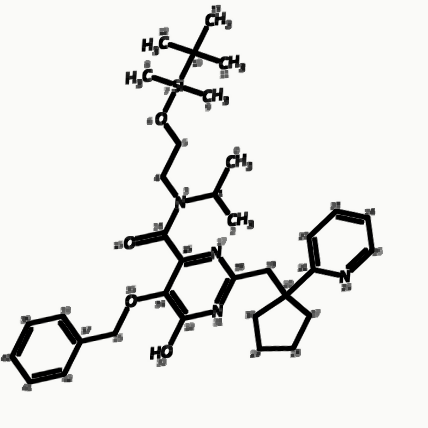 CC(C)N(CCO[Si](C)(C)C(C)(C)C)C(=O)c1nc(CC2(c3ccccn3)CCCC2)nc(O)c1OCc1ccccc1